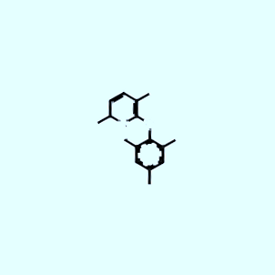 CC1=C(Oc2c(C)cc(C)cc2C)NC(C)C=[C]1